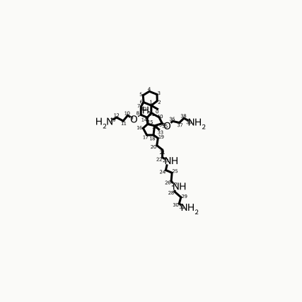 CC12CCCCC1C[C@@H](OCCCN)C1C3CCC(CCCCNCCCNCCCN)C3(C)[C@@H](OCCCN)C[C@@H]12